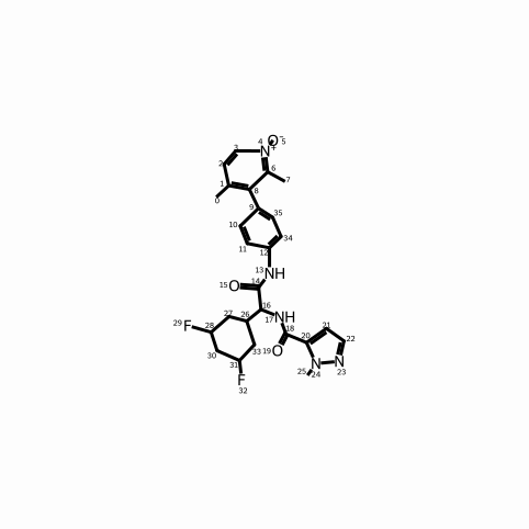 Cc1cc[n+]([O-])c(C)c1-c1ccc(NC(=O)C(NC(=O)c2ccnn2C)C2CC(F)CC(F)C2)cc1